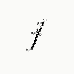 NNC(CCCOCC(P)CO)C(=O)CCCCCCCCCCP